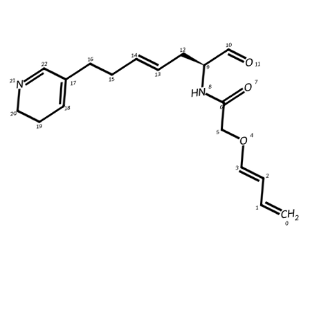 C=C/C=C/OCC(=O)N[C@H](C=O)C/C=C/CCC1=CCCN=C1